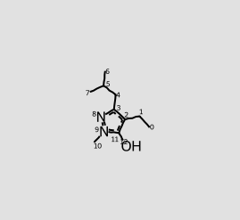 CCc1c(CC(C)C)nn(C)c1O